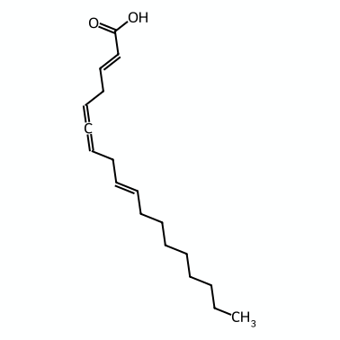 CCCCCCCCC=CCC=C=CCC=CC(=O)O